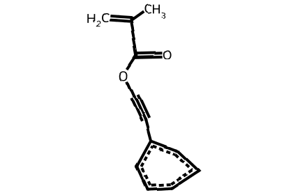 C=C(C)C(=O)OC#Cc1ccccc1